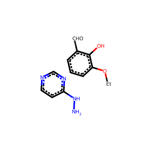 CCOc1cccc(C=O)c1O.NNc1ccncn1